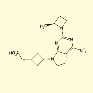 C[C@H]1CCN1c1nc2c(c(C(F)(F)F)n1)CCN2[C@H]1C[C@@H](CC(=O)O)C1